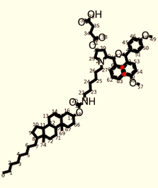 CCCCCCCCC1CCC2C3CC=C4CC(OC(=O)NCCCCCCN5CC(OC(=O)CCC(=O)O)CC5C(OC(c5ccc(OC)cc5)c5ccc(OC)cc5)c5ccccc5)CCC4(C)C3CCC12C